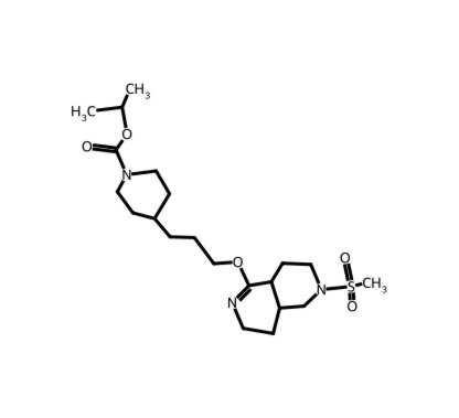 CC(C)OC(=O)N1CCC(CCCOC2=NCCC3CN(S(C)(=O)=O)CCC23)CC1